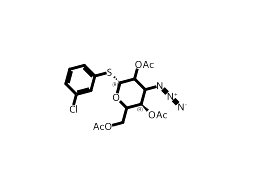 CC(=O)OCC1O[C@H](Sc2cccc(Cl)c2)C(OC(C)=O)C(N=[N+]=[N-])[C@H]1OC(C)=O